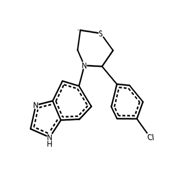 Clc1ccc(C2CS[CH]CN2c2ccc3[nH]cnc3c2)cc1